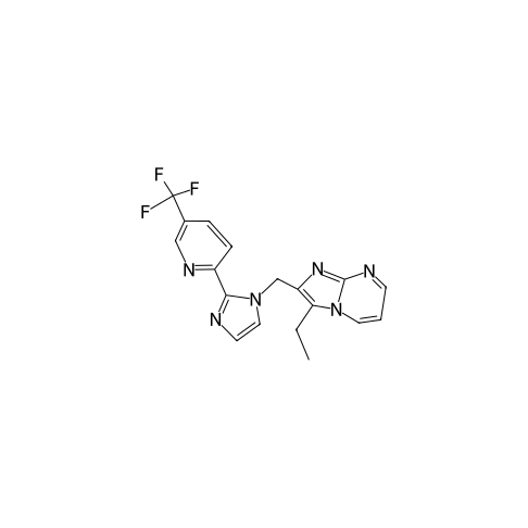 CCc1c(Cn2ccnc2-c2ccc(C(F)(F)F)cn2)nc2ncccn12